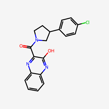 O=C(c1nc2ccccc2nc1O)N1CCC(c2ccc(Cl)cc2)C1